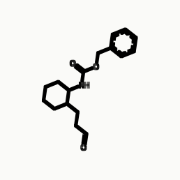 O=CCCC1CCCCC1NC(=O)OCc1ccccc1